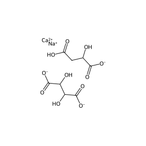 O=C(O)CC(O)C(=O)[O-].O=C([O-])C(O)C(O)C(=O)[O-].[Ca+2].[Na+]